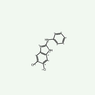 Clc1cc2nc(Nc3ccccc3)[nH]c2cc1Cl